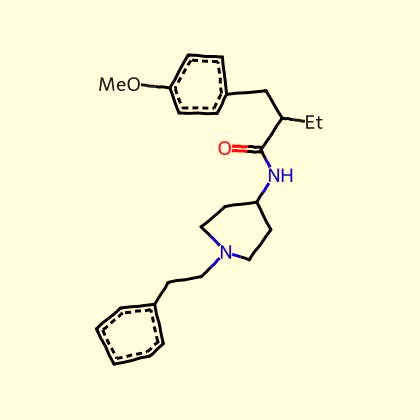 CCC(Cc1ccc(OC)cc1)C(=O)NC1CCN(CCc2ccccc2)CC1